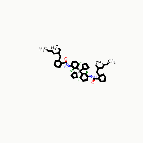 CCCCC(CC)Cc1ccccc1C(=O)Nc1ccc(F)[c]([Ti]([C]2=CC=CC2)([C]2=CC=CC2)[c]2c(F)ccc(NC(=O)c3ccccc3CC(CC)CCCC)c2F)c1F